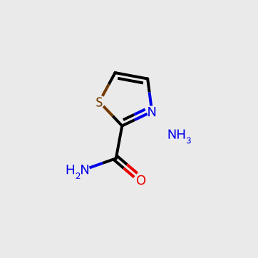 N.NC(=O)c1nccs1